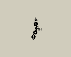 CN1CCN(c2ccc(-c3cc(-c4ccc(OC(F)F)cc4)n[nH]3)cc2)CC1